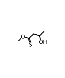 COC(=S)CC(C)O